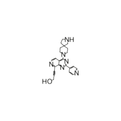 OCC#Cc1nccc2c(N3CCC4(CCNC4)CC3)nc(-c3ccncc3)nc12